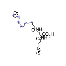 CC/C=C\C/C=C\C/C=C\C/C=C\C/C=C\C/C=C\CCC(=O)NCCC[C@H](NC(=O)CCCCC1CCSS1)C(=O)O